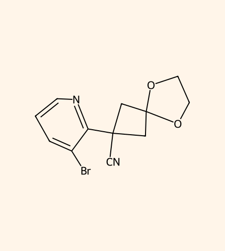 N#CC1(c2ncccc2Br)CC2(C1)OCCO2